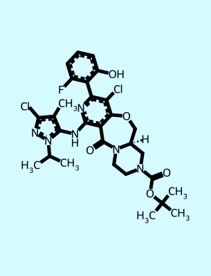 Cc1c(Cl)nn(C(C)C)c1Nc1nc(-c2c(O)cccc2F)c(Cl)c2c1C(=O)N1CCN(C(=O)OC(C)(C)C)C[C@@H]1CO2